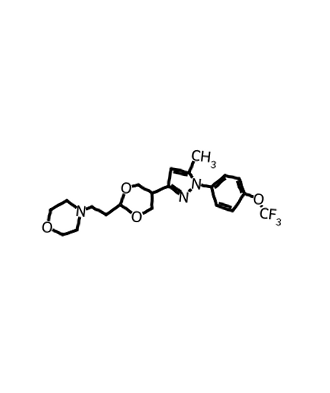 Cc1cc(C2COC(CCN3CCOCC3)OC2)nn1-c1ccc(OC(F)(F)F)cc1